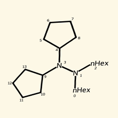 CCCCCCN(CCCCCC)N(C1CCCC1)C1CCCC1